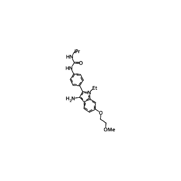 CCn1c(-c2ccc(NC(=O)NC(C)C)cc2)c(N)c2ccc(OCCOC)cc21